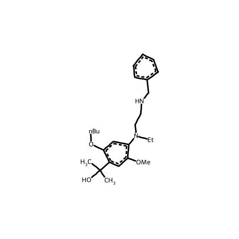 CCCCOc1cc(N(CC)CCNCc2ccccc2)c(OC)cc1C(C)(C)O